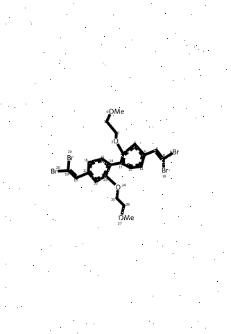 COCCOc1cc(C=C(Br)Br)ccc1-c1ccc(C=C(Br)Br)cc1OCCOC